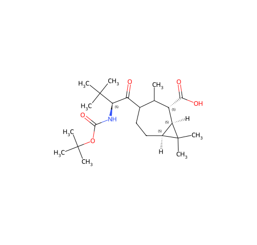 CC1C(C(=O)[C@@H](NC(=O)OC(C)(C)C)C(C)(C)C)CC[C@H]2[C@@H]([C@H]1C(=O)O)C2(C)C